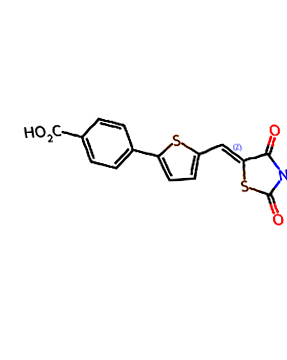 O=C1NC(=O)/C(=C/c2ccc(-c3ccc(C(=O)O)cc3)s2)S1